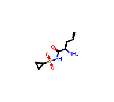 C=CCC(N)C(=O)NS(=O)(=O)C1CC1